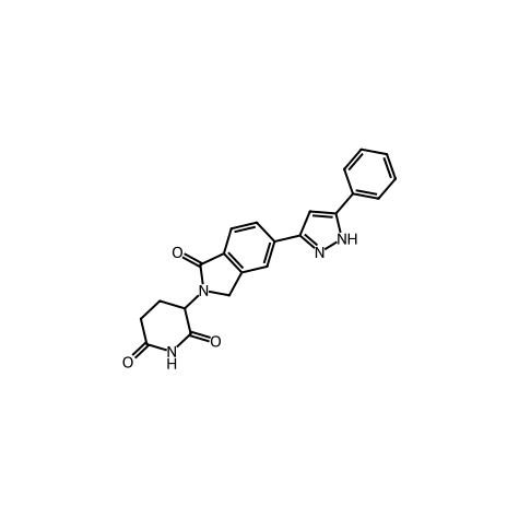 O=C1CCC(N2Cc3cc(-c4cc(-c5ccccc5)[nH]n4)ccc3C2=O)C(=O)N1